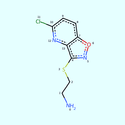 NCCSc1noc2ccc(Cl)nc12